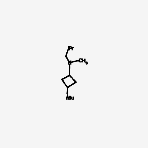 CCCCC1CC(N(C)CC(C)C)C1